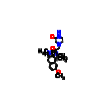 COc1ccc2c(c1)[C@]1(C)CCCN(C)[C@H](C2)[C@@H]1N(C)C(=O)CN1CCNC(=O)C1